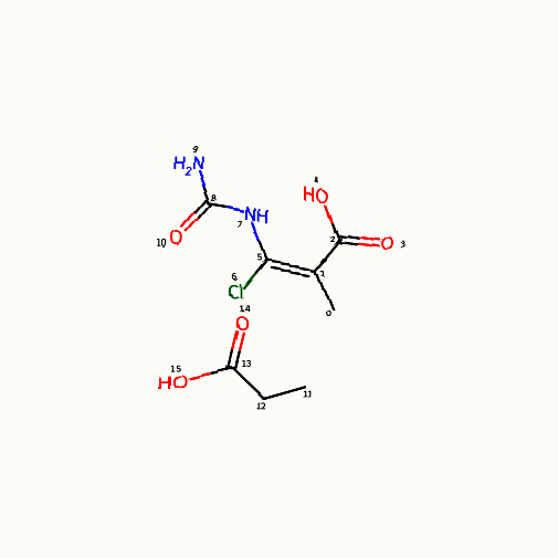 CC(C(=O)O)=C(Cl)NC(N)=O.CCC(=O)O